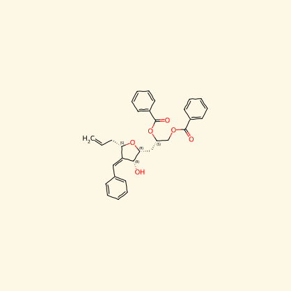 C=CC[C@@H]1O[C@H](C[C@@H](COC(=O)c2ccccc2)OC(=O)c2ccccc2)[C@H](O)C1=Cc1ccccc1